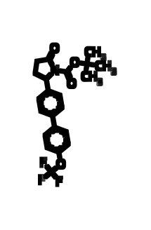 CC(C)(C)OC(=O)N1C(=O)CCC1c1ccc(-c2ccc(OC(F)(F)F)cc2)cc1